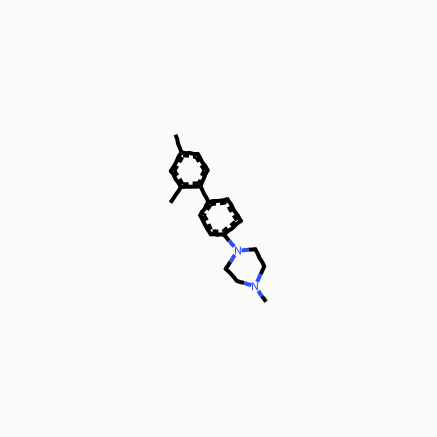 Cc1ccc(-c2ccc(N3CCN(C)CC3)cc2)c(C)c1